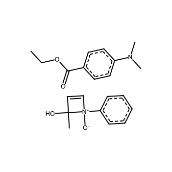 CC1(O)C=C[N+]1([O-])c1ccccc1.CCOC(=O)c1ccc(N(C)C)cc1